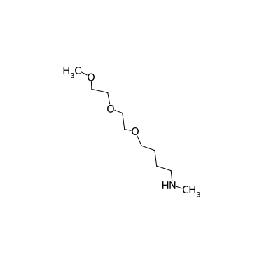 CNCCCCOCCOCCOC